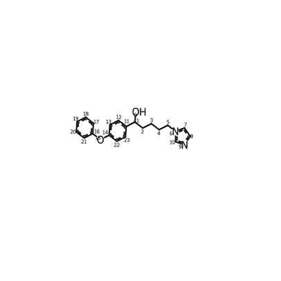 OC(CCCCn1ccnc1)c1ccc(Oc2ccccc2)cc1